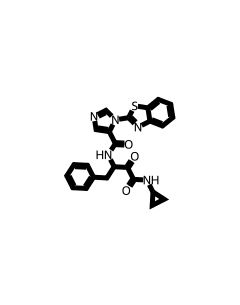 O=C(NC1CC1)C(=O)C(Cc1ccccc1)NC(=O)c1cncn1-c1nc2ccccc2s1